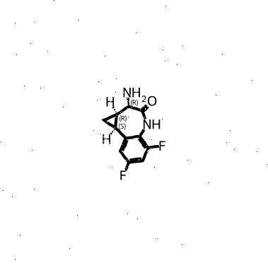 N[C@H]1C(=O)Nc2c(F)cc(F)cc2[C@H]2C[C@H]21